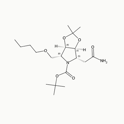 CCCCOC[C@@H]1[C@H]2OC(C)(C)O[C@H]2[C@H](CC(N)=O)N1C(=O)OC(C)(C)C